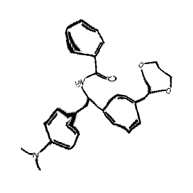 CN(C)c1ccc(C(NC(=O)c2ccccc2)c2cccc(C3OCCO3)c2)cc1